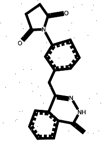 C=C1NN=C(Cc2cccc(N3C(=O)CCC3=O)c2)c2ccccc21